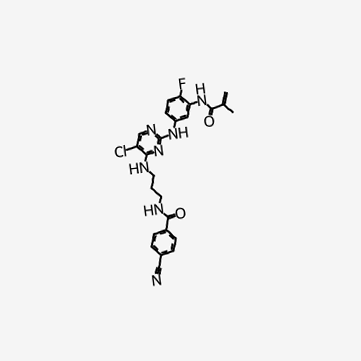 C=C(C)C(=O)Nc1cc(Nc2ncc(Cl)c(NCCCNC(=O)c3ccc(C#N)cc3)n2)ccc1F